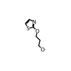 [O]CCCOc1nccs1